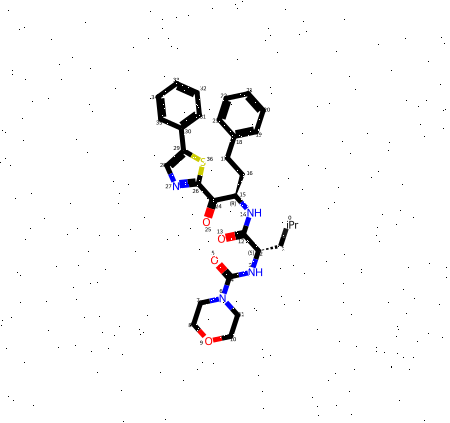 CC(C)C[C@H](NC(=O)N1CCOCC1)C(=O)N[C@H](CCc1ccccc1)C(=O)c1ncc(-c2ccccc2)s1